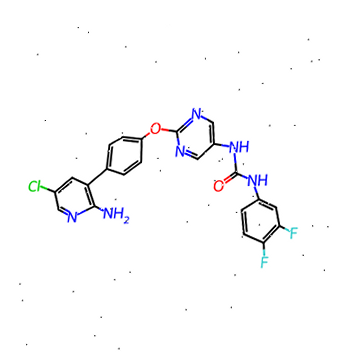 Nc1ncc(Cl)cc1-c1ccc(Oc2ncc(NC(=O)Nc3ccc(F)c(F)c3)cn2)cc1